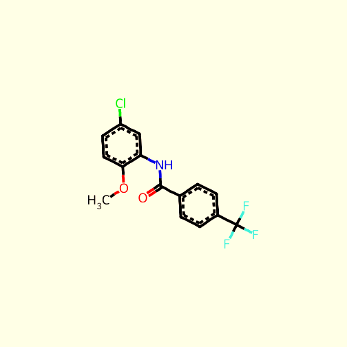 COc1ccc(Cl)cc1NC(=O)c1ccc(C(F)(F)F)cc1